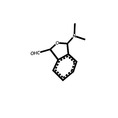 CN(C)C1OC(C=O)c2ccccc21